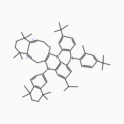 Cc1cc(C(C)(C)C)ccc1N1c2ccc(C(C)(C)C)cc2B2C3=C(C/C=C4\C(=C/CS3)C(C)(C)CCC4(C)C)N(c3ccc4c(c3)C(C)(C)CCC4(C)C)c3cc(C(C)C)cc1c32